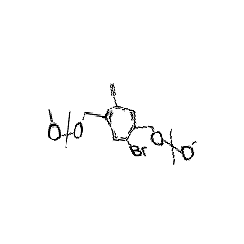 C#Cc1cc(COC(C)(C)OC)c(Br)cc1COC(C)(C)OC